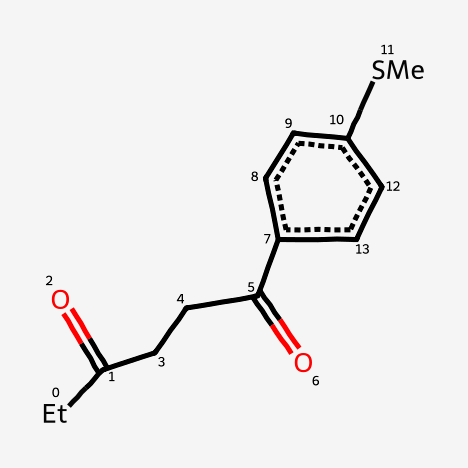 CCC(=O)CCC(=O)c1ccc(SC)cc1